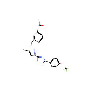 Cc1cc(-c2nc(-c3ccc(OC(F)(F)F)cc3)no2)nn1Cc1cccc(NC(=O)O)c1